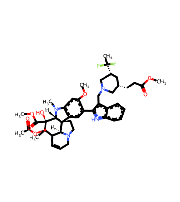 CC[C@]12C=CCN3CC[C@@]4(c5cc(-c6[nH]c7ccccc7c6CN6C[C@@H](CCC(=O)OC)C[C@@H](C(C)(F)F)C6)c(OC)cc5N(C)[C@H]4[C@@](O)(C(=O)OC)[C@@H]1OC(C)=O)[C@@H]32